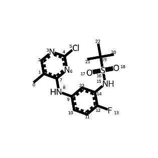 Cc1cnc(Cl)nc1Nc1ccc(F)c(NS(=O)(=O)C(C)(C)C)c1